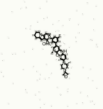 C[C@H]1CN(C2COC2)CCN1c1ccc(Nc2cc(-c3cc(F)cc(-n4ncc5c(cc6n5CCCC6)c4=O)c3C=O)cn(C)c2=O)nc1